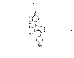 [CH2]CCN1CCC(c2cccc3c2n(C)c(=O)n3C2CCC(=O)NC2=O)CC1